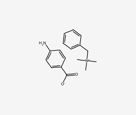 C[N+](C)(C)Cc1ccccc1.Nc1ccc(C(=O)[O-])cc1